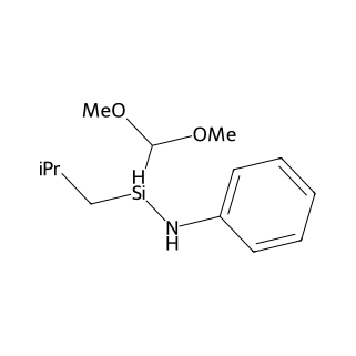 COC(OC)[SiH](CC(C)C)Nc1ccccc1